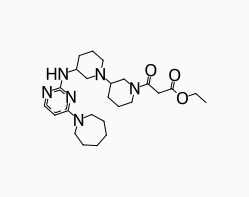 CCOC(=O)CC(=O)N1CCCC(N2CCCC(Nc3nccc(N4CCCCCC4)n3)C2)C1